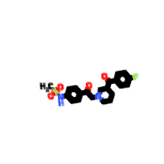 CS(=O)(=O)Nc1ccc(C(=O)CN2CCCC(C(=O)c3ccc(F)cc3)C2)cc1